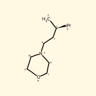 CC(C)[C@H](C)CCN1CCOCC1